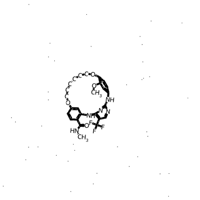 CNC(=O)c1ccc2cc1Nc1nc(ncc1C(F)(F)F)Nc1ccc(c(OC)c1)OCCCCCCO2